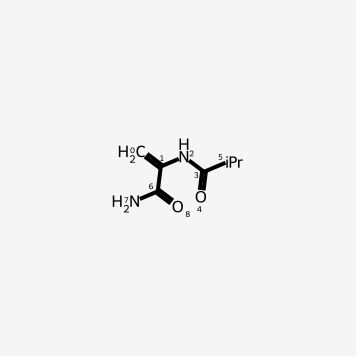 C=C(NC(=O)C(C)C)C(N)=O